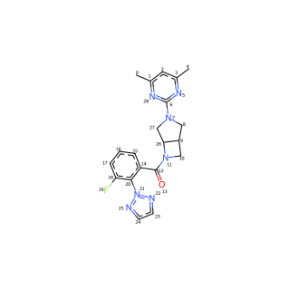 Cc1cc(C)nc(N2CC3CN(C(=O)c4cccc(F)c4-n4nccn4)C3C2)n1